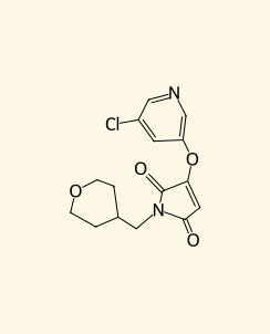 O=C1C=C(Oc2cncc(Cl)c2)C(=O)N1CC1CCOCC1